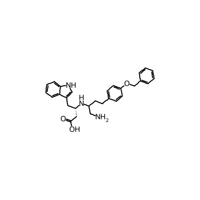 NCC(CCc1ccc(OCc2ccccc2)cc1)N[C@H](CC(=O)O)Cc1c[nH]c2ccccc12